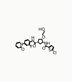 O=C(N[C@H]1C[C@@H](C(=O)Nc2ccc(-n3ccccc3=O)cc2F)C[C@@H]1OCCO)c1ccc(Cl)s1